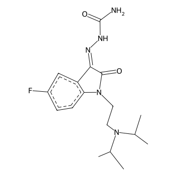 CC(C)N(CCN1C(=O)C(=NNC(N)=O)c2cc(F)ccc21)C(C)C